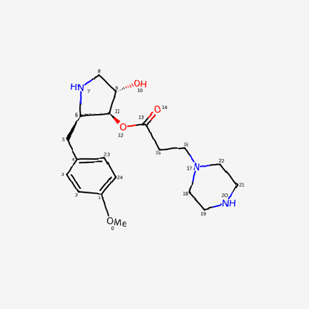 COc1ccc(C[C@H]2NC[C@H](O)[C@H]2OC(=O)CCN2CCNCC2)cc1